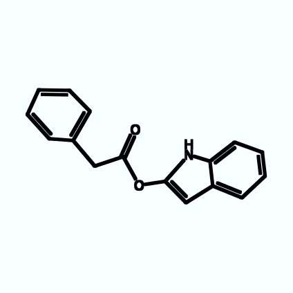 O=C(Cc1ccccc1)Oc1cc2ccccc2[nH]1